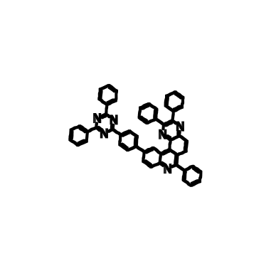 c1ccc(-c2nc(-c3ccccc3)nc(-c3ccc(-c4ccc5nc(-c6ccccc6)c6ccc7nc(-c8ccccc8)c(-c8ccccc8)nc7c6c5c4)cc3)n2)cc1